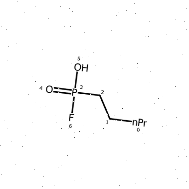 CCCCCP(=O)(O)F